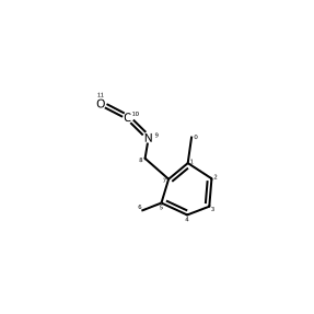 Cc1cccc(C)c1CN=C=O